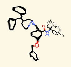 CC(C)(C)NC(=O)c1cc(OCc2ccccc2)ccc1CN1CCC(C(c2ccccc2)c2ccccc2)CC1